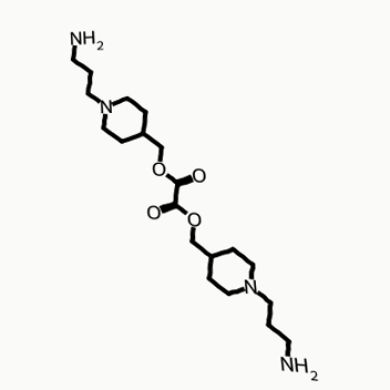 NCCCN1CCC(COC(=O)C(=O)OCC2CCN(CCCN)CC2)CC1